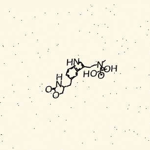 CN(CCc1c[nH]c2ccc(CC3COC(=O)N3)cc12)P(=O)(O)O